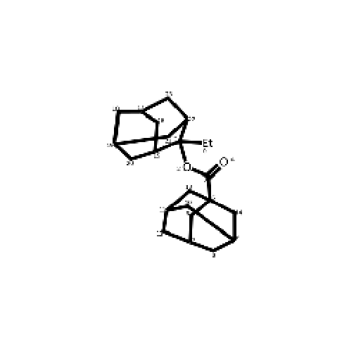 CCC1(OC(=O)C23CC4CC(CC(C4)C2)C3)C2CC3CC(C2)CC1C3